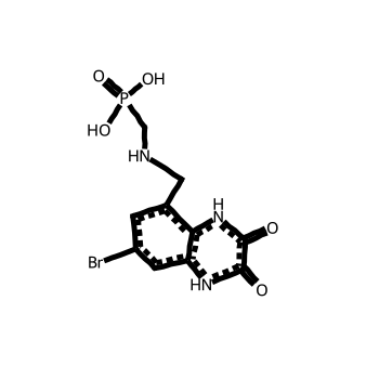 O=c1[nH]c2cc(Br)cc(CNCP(=O)(O)O)c2[nH]c1=O